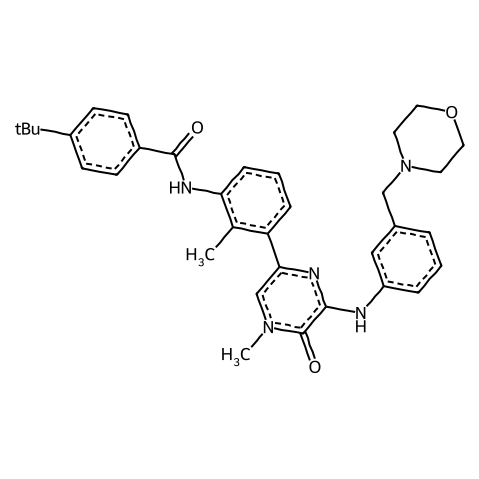 Cc1c(NC(=O)c2ccc(C(C)(C)C)cc2)cccc1-c1cn(C)c(=O)c(Nc2cccc(CN3CCOCC3)c2)n1